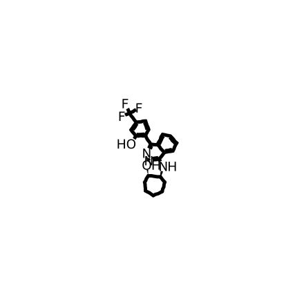 Oc1cc(C(F)(F)F)ccc1-c1nnc(N[C@H]2CCCCC[C@@H]2O)c2ccccc12